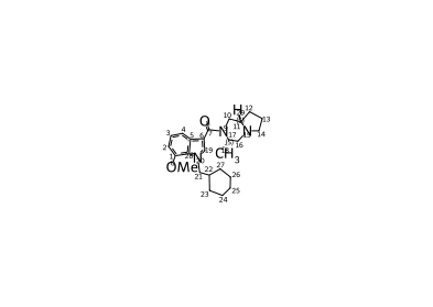 COc1cccc2c(C(=O)N3C[C@@H]4CCCN4C[C@@H]3C)cn(CC3CCCCC3)c12